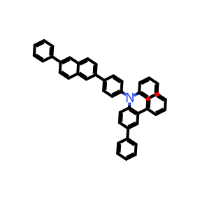 c1ccc(-c2ccc(N(c3ccccc3)c3ccc(-c4ccc5cc(-c6ccccc6)ccc5c4)cc3)c(-c3ccccc3)c2)cc1